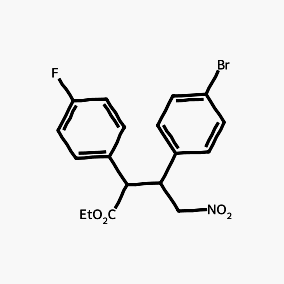 CCOC(=O)C(c1ccc(F)cc1)C(C[N+](=O)[O-])c1ccc(Br)cc1